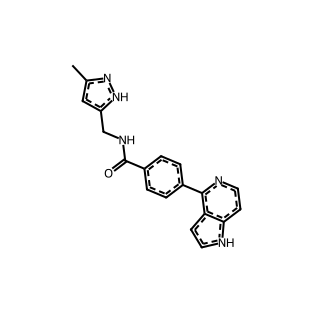 Cc1cc(CNC(=O)c2ccc(-c3nccc4[nH]ccc34)cc2)[nH]n1